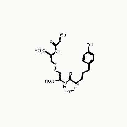 CC(C)C[C@@H](CCCc1ccc(O)cc1)C(=O)NC(CSSCC(NC(=O)CC(C)(C)C)C(=O)O)C(=O)O